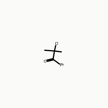 CC(C)C(=O)C(C)(C)Cl